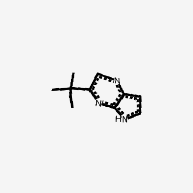 CC(C)(C)c1cnc2cc[nH]c2n1